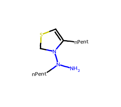 CCCCCC1=CSCN1N(N)CCCCC